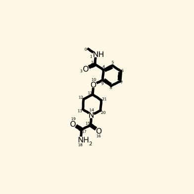 CNC(=O)c1ccccc1OC1CCN(C(=O)C(N)=O)CC1